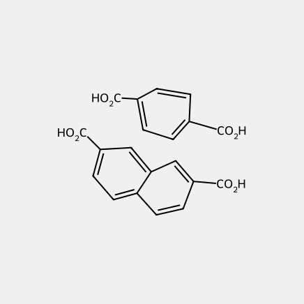 O=C(O)c1ccc(C(=O)O)cc1.O=C(O)c1ccc2ccc(C(=O)O)cc2c1